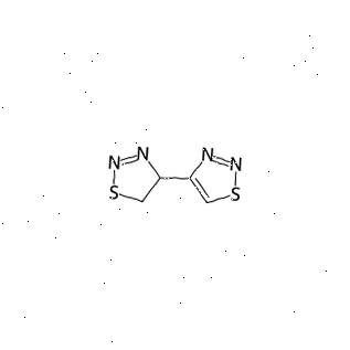 c1snnc1C1CSN=N1